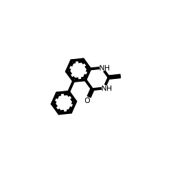 C=C1NC(=O)c2c(cccc2-c2ccccc2)N1